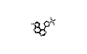 CS(=O)(=O)N1CCC(c2ncnc3cnc4[nH]ccc4c23)C1